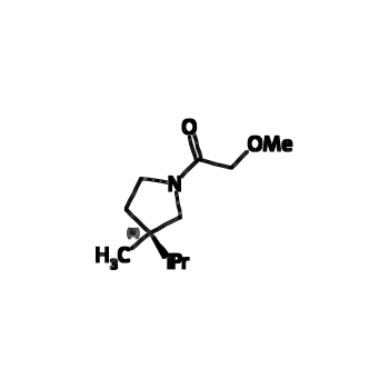 COCC(=O)N1CC[C@](C)(C(C)C)C1